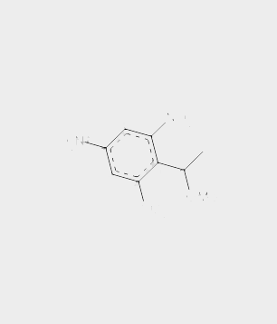 COC(C)c1c(C(=O)O)cc([N+](=O)[O-])cc1[N+](=O)[O-]